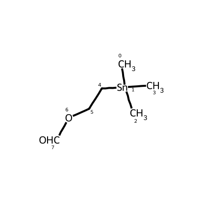 [CH3][Sn]([CH3])([CH3])[CH2]COC=O